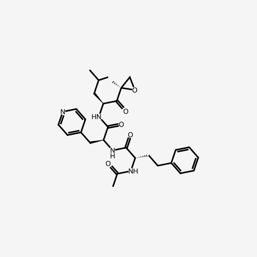 CC(=O)N[C@@H](CCc1ccccc1)C(=O)N[C@@H](Cc1ccncc1)C(=O)N[C@@H](CC(C)C)C(=O)[C@@]1(C)CO1